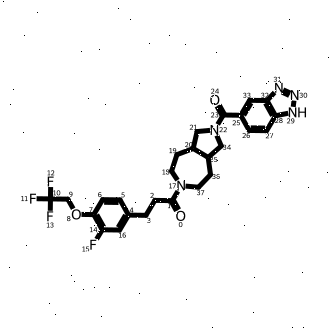 O=C(CCc1ccc(OCC(F)(F)F)c(F)c1)N1CCC2CN(C(=O)c3ccc4[nH]nnc4c3)CC2CC1